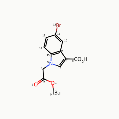 CC(C)(C)OC(=O)Cn1cc(C(=O)O)c2cc(Br)ccc21